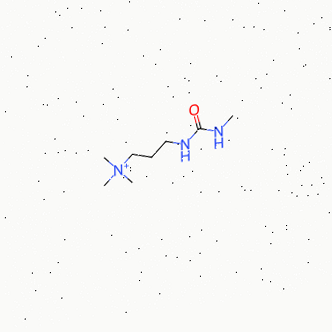 CNC(=O)NCCC[N+](C)(C)C